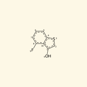 Oc1csc2cccc(F)c12